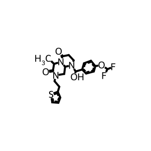 CC1C(=O)N(CCc2cccs2)CC2N(C(O)c3ccc(OC(F)F)cc3)CCC(=O)N12